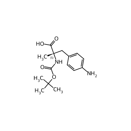 CC(C)(C)OC(=O)N[C@@](C)(Cc1ccc(N)cc1)C(=O)O